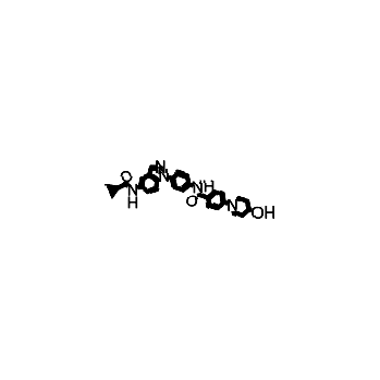 O=C(Nc1ccc(-n2ncc3cc(NC(=O)C4CC4)ccc32)cc1)c1ccc(N2CCC(O)CC2)cc1